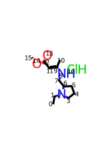 CCN1CCCC1CNC(C)=CC(=O)OC.Cl